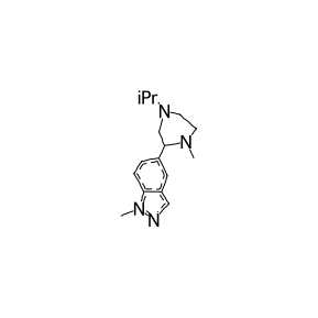 CC(C)N1CCN(C)C(c2ccc3c(cnn3C)c2)C1